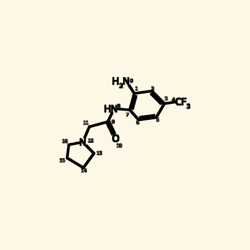 Nc1cc(C(F)(F)F)ccc1NC(=O)CN1CCCC1